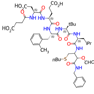 CCCCSCC(NC(=O)[C@H](CC(C)C)NC(=O)[C@@H](NC(=O)[C@H](Cc1ccccc1C)NC(=O)[C@H](CCC(=O)O)NC(=O)[C@H](CC(=O)O)NC(=O)CCC(=O)O)C(C)(C)C)C(OC=O)C(=O)NCc1ccccc1